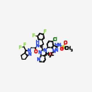 Cn1nc(NS(C)(=O)=O)c2c(Cl)ccc(-n3c([C@H](Cc4cc(F)cc(F)c4)NC(=O)Cn4nc5c(c4C(F)F)CCC5)nc4ncccc4c3=O)c21